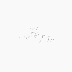 CCOC1CCC(Nc2ncc(C(N)=O)c(N[C@@H]3CCC[C@@H]3CO)n2)CC1